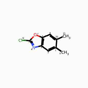 Cc1cc2nc(Cl)oc2cc1C